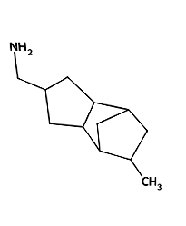 CC1CC2CC1C1CC(CN)CC21